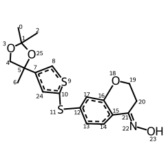 CC1(C)OCC(C)(c2csc(Sc3ccc4c(c3)OCCC4=NO)c2)O1